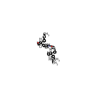 C=CC(=O)Nc1cc(-c2c(-c3cccc(CN4CCN(C/C=C/C(=O)Nc5cc(-c6c(-c7cccc(N8CCN(C)CC8)c7)[nH]c7nccc(Cl)c67)ccc5C)CC4)c3)[nH]c3nccc(Cl)c23)ccc1C